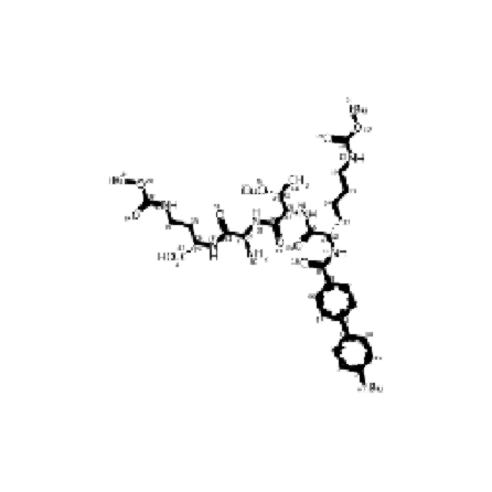 CCCCc1ccc(-c2ccc(C(=O)N[C@@H](CCCCNC(=O)OC(C)(C)C)C(=O)N[C@H](C(=O)N[C@@H](N)C(=O)N[C@@H](CCNC(=O)OC(C)(C)C)C(=O)O)[C@@H](C)OCC(C)C)cc2)cc1